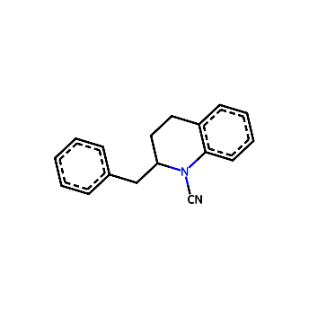 N#CN1c2ccccc2CCC1Cc1ccccc1